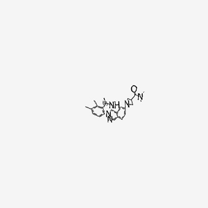 Cc1cccc([C@@H](C)Nc2nncc3ccc(N4CC(C(=O)N(C)C)C4)cc23)c1C